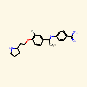 CCc1cc(C(Nc2ccc(C(=N)N)cc2)C(=O)O)ccc1OCCC1CCCN1